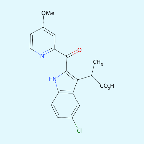 COc1ccnc(C(=O)c2[nH]c3ccc(Cl)cc3c2C(C)C(=O)O)c1